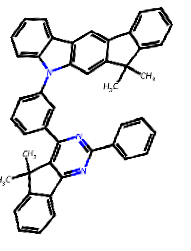 CC1(C)c2ccccc2-c2cc3c4ccccc4n(-c4cccc(-c5nc(-c6ccccc6)nc6c5C(C)(C)c5ccccc5-6)c4)c3cc21